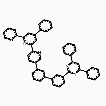 c1ccc(-c2cc(-c3ccccn3)nc(-c3ccc(-c4cccc(-c5cccc(-c6nc(-c7ccccc7)cc(-c7ccccc7)n6)c5)c4)cn3)c2)cc1